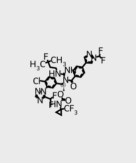 CC(C)(F)CCNC(=N)N(C(=O)c1ccc(-c2cnn(C(F)F)c2)cc1)[C@H](COC(=O)NC1(C(F)(F)F)CC1)c1ccc(Cl)c(-n2ncnc2C(F)F)c1